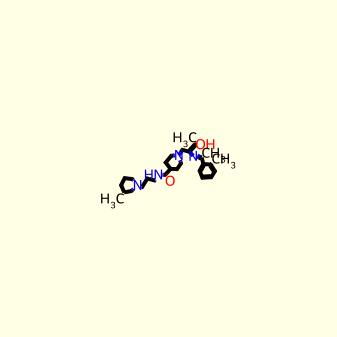 C/C(O)=C(CN1CCC(C(=O)NCCCN2CCCC(C)C2)CC1)/N=C(\C)c1ccccc1C